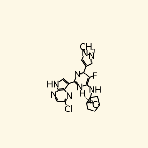 Cn1cc(-c2nc(-c3c[nH]c4ncc(Cl)nc34)nc(N[C@H]3CC4CCC3CC4)c2F)cn1